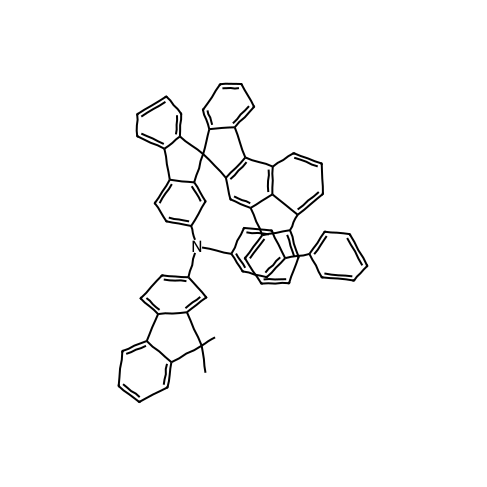 CC1(C)c2ccccc2-c2ccc(N(c3ccc(-c4ccccc4)cc3)c3ccc4c(c3)C3(c5ccccc5-4)c4ccccc4-c4c3cc3c5c(cccc45)-c4ccccc4-3)cc21